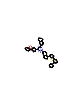 c1ccc(-c2cccc3c2sc2c(-c4cccc5cc(-c6nc(-c7ccc8ccccc8c7)cc(-c7ccc8c(c7)oc7ccccc78)n6)ccc45)cccc23)cc1